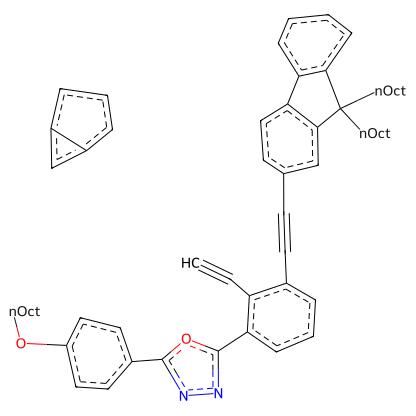 C#Cc1c(C#Cc2ccc3c(c2)C(CCCCCCCC)(CCCCCCCC)c2ccccc2-3)cccc1-c1nnc(-c2ccc(OCCCCCCCC)cc2)o1.c1cc2cc-2c1